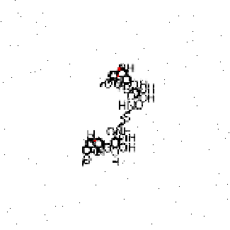 CCOc1ccc2c3c1O[C@H]1[C@@H](O[C@@H]4O[C@H](C(=O)NCCSSCCNC(=O)[C@H]5C[C@@H](O[C@H]6C=CC7[C@H]8Cc9ccc(OCC)c%10c9[C@@]7(CCN8C)[C@H]6O%10)[C@H](O)[C@@H](O)[C@@H]5O)[C@@H](O)[C@H](O)[C@H]4O)C=CC4[C@@H](C2)N(C)CC[C@@]341